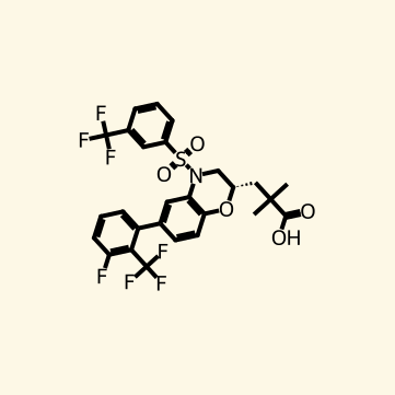 CC(C)(C[C@H]1CN(S(=O)(=O)c2cccc(C(F)(F)F)c2)c2cc(-c3cccc(F)c3C(F)(F)F)ccc2O1)C(=O)O